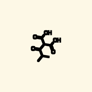 CC(C)C(=O)C(C(=O)O)C(=O)O